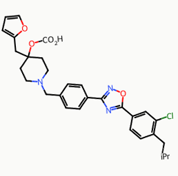 CC(C)Cc1ccc(-c2nc(-c3ccc(CN4CCC(Cc5ccco5)(OC(=O)O)CC4)cc3)no2)cc1Cl